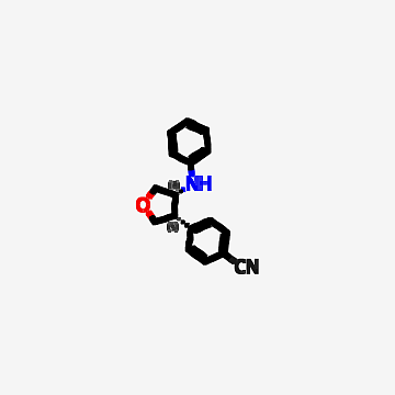 N#Cc1ccc([C@@H]2COC[C@@H]2Nc2ccccc2)cc1